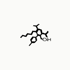 CCCCCCc1c(C(C)C)cc(C(C)C)c(CO)c1-c1ccc(C)cc1